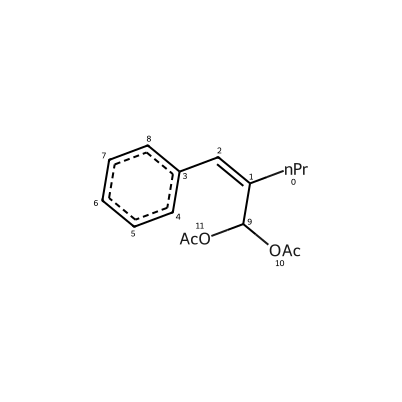 CCCC(=Cc1ccccc1)C(OC(C)=O)OC(C)=O